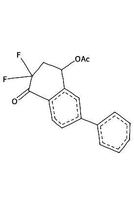 CC(=O)OC1CC(F)(F)C(=O)c2ccc(-c3ccccc3)cc21